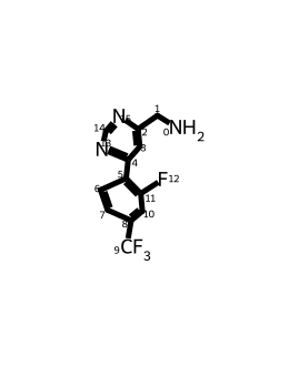 NCc1cc(-c2ccc(C(F)(F)F)cc2F)ncn1